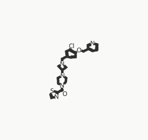 O=C(c1nccs1)N1CCN(C2CN(Cc3ccc(OCc4cccnc4)c(Cl)c3)C2)CC1